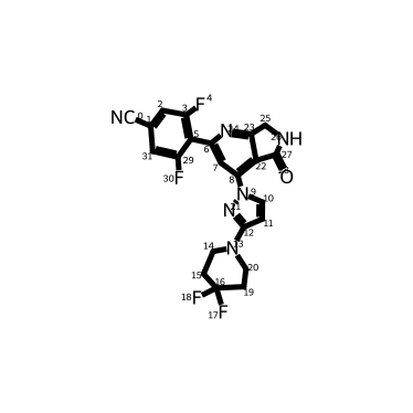 N#Cc1cc(F)c(-c2cc(-n3ccc(N4CCC(F)(F)CC4)n3)c3c(n2)CNC3=O)c(F)c1